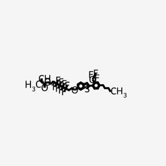 C=C(C)C(=O)OCCC(F)(F)C(F)(F)C(F)(F)C(F)(F)CCOc1ccc2cc(-c3ccc(CCCCC)cc3OC(F)(F)F)sc2c1